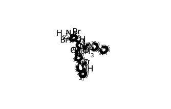 C[C@](CC(=O)c1cc(Br)c(N)c(Br)c1)(NC(=O)CN1CCC(N2CCCCC2)CC1)C(=O)N1CCC(N2CCc3ccccc3NC2=O)CC1